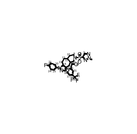 Cn1ncc(S(=O)(=O)N2CCC3CCc4c(cnn4-c4ccc(F)cc4)C[C@]3(C(=O)c3cc(C(F)(F)F)ccn3)C2)n1